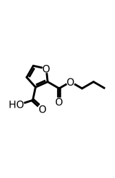 CCCOC(=O)c1occc1C(=O)O